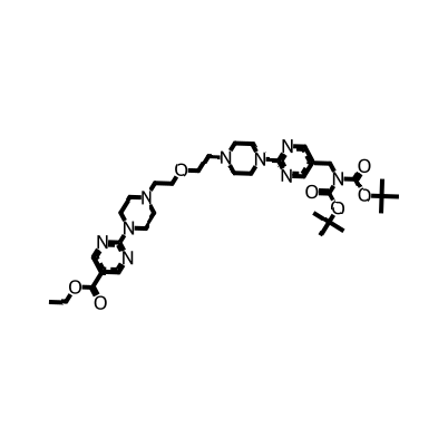 CCOC(=O)c1cnc(N2CCN(CCOCCN3CCN(c4ncc(CN(C(=O)OC(C)(C)C)C(=O)OC(C)(C)C)cn4)CC3)CC2)nc1